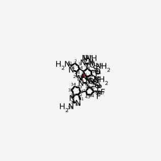 Nc1ccc(-c2ccc(C(F)(F)F)c(S(N)(=O)=O)c2-c2nn[nH]n2)c(Cn2nnc(-c3c(-c4cccc5nc(N)ncc45)ccc(C(F)(F)F)c3S(N)(=O)=O)n2)n1